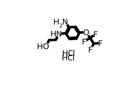 Cl.Cl.Nc1cc(OC(F)(F)C(F)F)ccc1NCCO